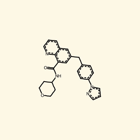 O=C(NC1CCOCC1)c1cc(Cc2ccc(-n3cccn3)cc2)cc2cccnc12